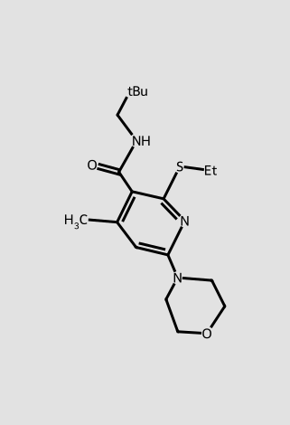 CCSc1nc(N2CCOCC2)cc(C)c1C(=O)NCC(C)(C)C